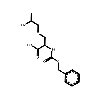 CC(N)COCC(NC(=O)OCc1ccccc1)C(=O)O